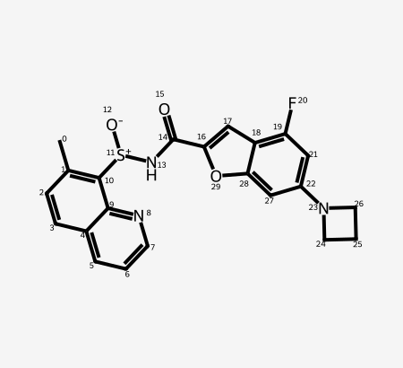 Cc1ccc2cccnc2c1[S+]([O-])NC(=O)c1cc2c(F)cc(N3CCC3)cc2o1